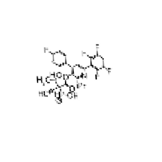 C#CC(C(=O)Oc1c(-c2ccc(F)cc2)cc(-c2c(F)c(F)cc(F)c2F)nc1C(C)C)(C(C)O)[PH](=O)O